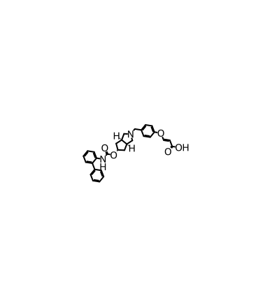 O=C(O)/C=C/Oc1ccc(CN2C[C@H]3C[C@H](OC(=O)Nc4ccccc4-c4ccccc4)C[C@H]3C2)cc1